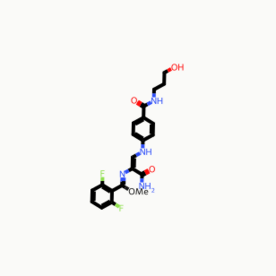 CO/C(=N\C(=C\Nc1ccc(C(=O)NCCCO)cc1)C(N)=O)c1c(F)cccc1F